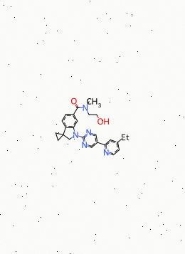 CCc1ccnc(-c2cnc(N3CC4(CC4)c4ccc(C(=O)N(C)CCO)cc43)nc2)c1